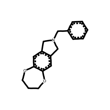 c1ccc(CN2Cc3cc4c(cc3C2)OCCCO4)cc1